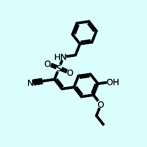 CCOc1cc(C=C(C#N)S(=O)(=O)NCc2ccccc2)ccc1O